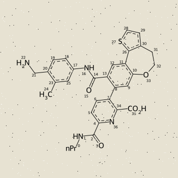 CCCNC(=O)c1ccc(-c2cc3c(cc2C(=O)Nc2ccc(CN)c(C)c2)-c2sccc2CCO3)c(C(=O)O)n1